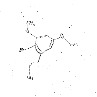 COc1cc(CCO)c(Br)c(OC)c1